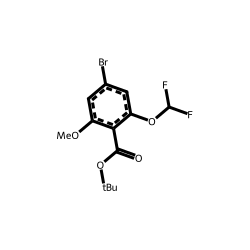 COc1cc(Br)cc(OC(F)F)c1C(=O)OC(C)(C)C